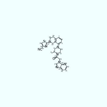 CC1CN(c2cccc3c2CN(c2nc(C#N)cs2)CC3)CCN1C(=O)Cn1cnc2cccnc21